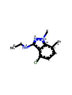 CC(C)c1ccc(Cl)c2c(NCC#N)nn(C)c12